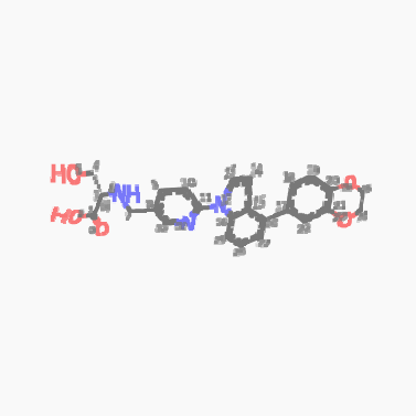 O=C(O)[C@H](CO)NCc1ccc(-n2ccc3c(-c4ccc5c(c4)OCCO5)cccc32)nc1